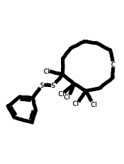 ClC1(Cl)CCCCCCCCC(Cl)(SSc2ccccc2)C1(Cl)Cl